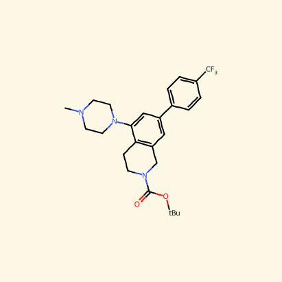 CN1CCN(c2cc(-c3ccc(C(F)(F)F)cc3)cc3c2CCN(C(=O)OC(C)(C)C)C3)CC1